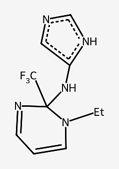 CCN1C=CC=NC1(Nc1cnc[nH]1)C(F)(F)F